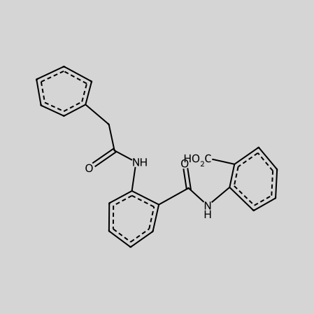 O=C(Cc1ccccc1)Nc1ccccc1C(=O)Nc1ccccc1C(=O)O